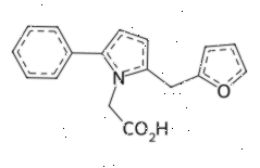 O=C(O)Cn1c(Cc2ccco2)ccc1-c1ccccc1